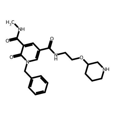 CNC(=O)c1cc(C(=O)NCCOC2CCCNC2)cn(Cc2ccccc2)c1=O